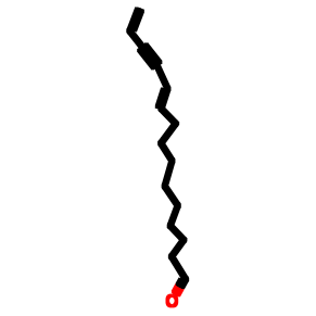 C=CC#C/C=C/CCCCCCCCC=O